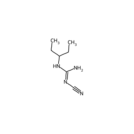 CCC(CC)N/C(N)=N/C#N